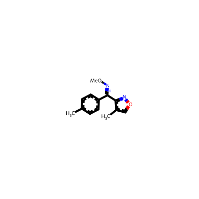 CO/N=C(\c1ccc(C)cc1)c1nocc1C